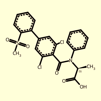 C[C@@H](C(=O)O)N(C(=O)c1c(Cl)cc(-c2ccccc2S(C)(=O)=O)cc1Cl)c1ccccc1